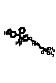 CN(C)C(=O)C=CCNCCOc1ccc(/C(CC(F)(F)F)=C(\c2ccccc2)c2ccc3[nH]ccc3c2)cn1